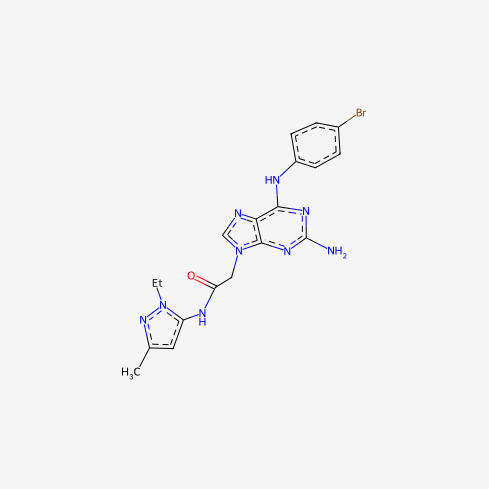 CCn1nc(C)cc1NC(=O)Cn1cnc2c(Nc3ccc(Br)cc3)nc(N)nc21